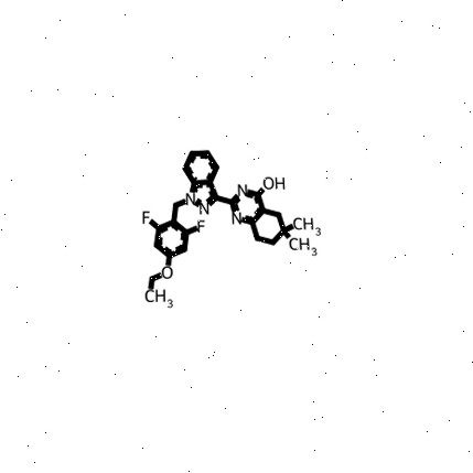 CCOc1cc(F)c(Cn2nc(-c3nc(O)c4c(n3)CCC(C)(C)C4)c3ccccc32)c(F)c1